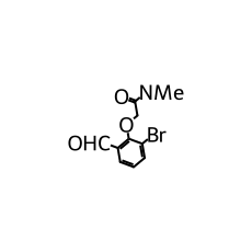 CNC(=O)COc1c(Br)cccc1C=O